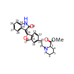 COC(=O)C1CCCCN1CCc1ccc2c(c1)CO/C2=C1/C(=O)Nc2ccccc21